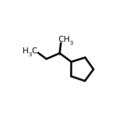 CC[C](C)C1CCCC1